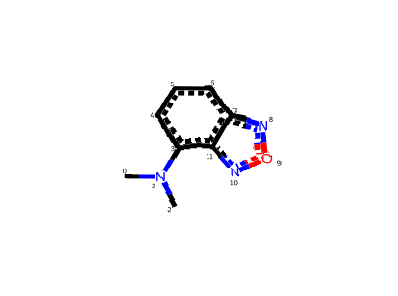 CN(C)c1cc[c]c2nonc12